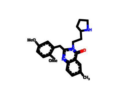 COc1ccc(OC)c(Cc2nc3ccc(C)cc3c(=O)n2CCC2CCCN2)c1